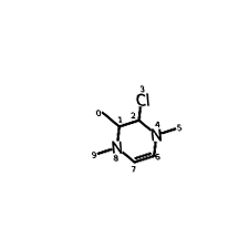 CC1C(Cl)N(C)C=CN1C